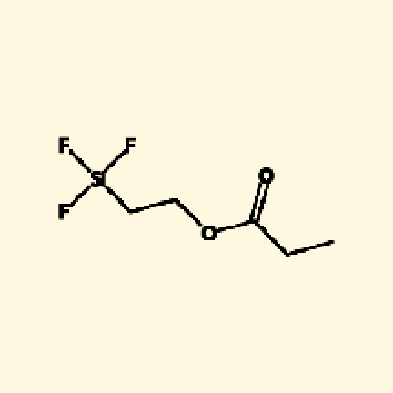 CCC(=O)OCC[Si](F)(F)F